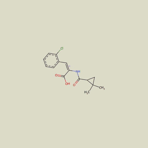 CC1(C)CC1C(=O)N/C(=C/c1ccccc1Cl)C(=O)O